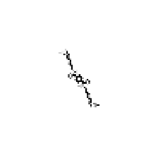 O=C(NCCCCCCO)c1ccc(C(=O)NCCCCCCO)cc1